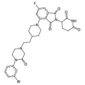 O=C1CCC(N2C(=O)c3cc(F)cc(N4CCC(CCN5CCN(c6cccc(Br)c6)C(=O)C5)CC4)c3C2=O)C(=O)N1